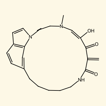 C=C1C(=O)NCCCCCc2ccc3ccn(c3c2)C2(CCCC2)CN(C)/C=C(/O)C1=O